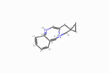 C1=C2CC3(CC3)CN2C=c2ccccc2=N1